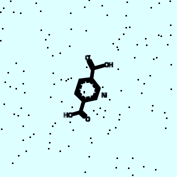 O=C(O)c1ccc(C(=O)O)cc1.[Ni]